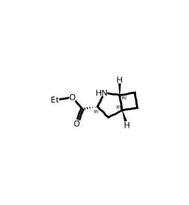 CCOC(=O)[C@H]1C[C@H]2CC[C@H]2N1